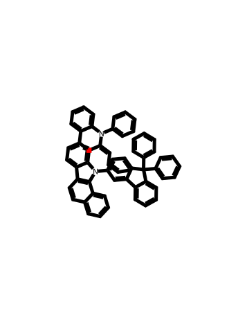 C=C/C(=C\C=C/C)N(c1ccccc1)c1ccccc1-c1ccc2c3ccc4ccccc4c3n(-c3ccc4c(c3)-c3ccccc3C4(c3ccccc3)c3ccccc3)c2c1